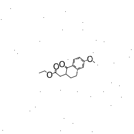 CCOC(=O)CC1CCc2cc(OC)ccc2C1=O